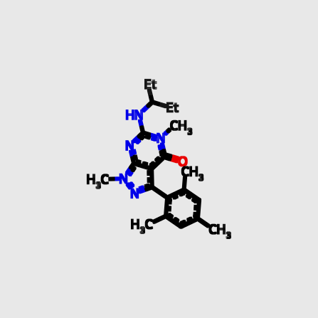 CCC(CC)Nc1nc2c(c(-c3c(C)cc(C)cc3C)nn2C)c(=O)n1C